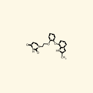 Cc1cc2cccc(Oc3ccccc3OCCn3ccc(=O)[nH]c3=O)c2[nH]1